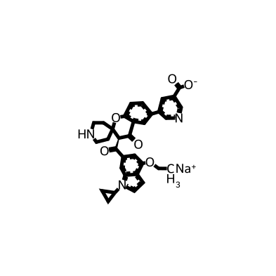 CCOc1cc(C(=O)[C@@H]2C(=O)c3cc(-c4cncc(C(=O)[O-])c4)ccc3OC23CCNCC3)cc2c1ccn2C1CC1.[Na+]